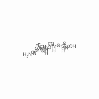 Cn1c(-c2cn(-c3ccc(N)cn3)nc2C(F)(F)F)cnc1C(=O)Nc1ccc(C(=O)NCCOCCNC(=O)[C@@H]2C[C@@H](O)CN2)c(Cl)c1